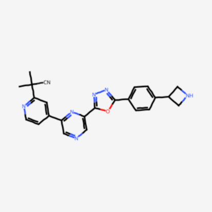 CC(C)(C#N)c1cc(-c2cncc(-c3nnc(-c4ccc(C5CNC5)cc4)o3)n2)ccn1